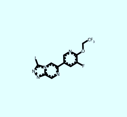 Fc1cc(-c2cn3c(I)nnc3cn2)cnc1OCC(F)(F)F